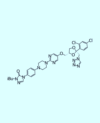 CCC(C)n1ncn(-c2ccc(N3CCN(c4ncc(OC[C@@H]5CO[C@@](Cn6cnnn6)(c6ccc(Cl)cc6Cl)O5)cn4)CC3)cc2)c1=O